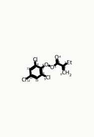 C=C(CC)C(=O)OOc1c(Cl)cc(Cl)cc1Cl